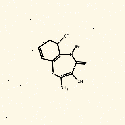 C=C1C(C#N)=C(N)SC2=C(C(C(F)(F)F)CC=C2)N1C(C)C